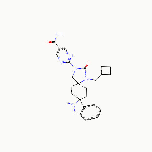 CN(C)C1(c2ccccc2)CCC2(CC1)CN(c1ncc(C(N)=O)cn1)C(=O)N2CC1CCC1